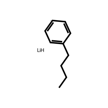 CCCCc1cc[c]cc1.[LiH]